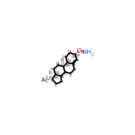 CC(=O)[C@H]1CCC2C3CCC4=C[C@@H](ON)CC[C@]4(C)C3CC[C@@]21C